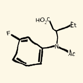 CCC(C(=O)O)N(C(C)=O)c1cccc(F)c1